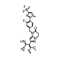 C=N/C(OC)=C(\C(=N)C1CC1)c1cc2n(n1)CCC(=O)N2Cc1ccc(-c2nc(C(F)(F)F)cn2C)c(F)c1